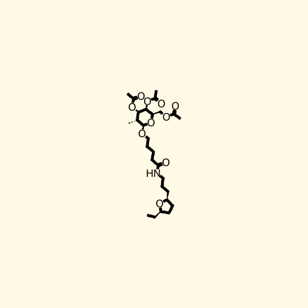 CC[C@@H]1CC[C@H](CCCNC(=O)CCCCO[C@@H]2O[C@H](COC(C)=O)[C@H](OC(C)=O)[C@H](OC(C)=O)[C@H]2C)O1